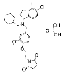 COc1cc(CN(CC2CCCCC2)C2CCc3c2ccc(Cl)c3C)ccc1OCCN1C(=O)CCC1=O.O=C(O)O